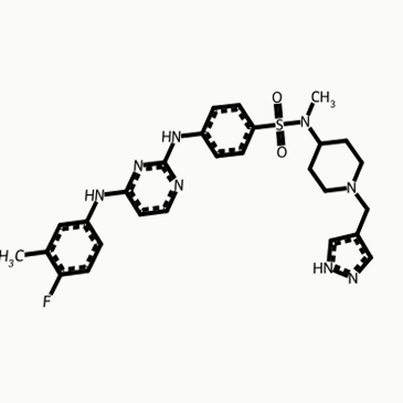 Cc1cc(Nc2ccnc(Nc3ccc(S(=O)(=O)N(C)C4CCN(Cc5cn[nH]c5)CC4)cc3)n2)ccc1F